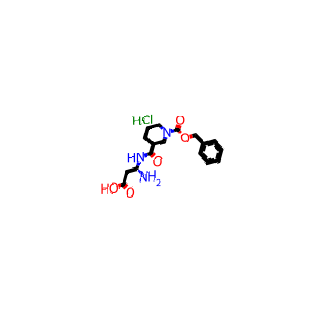 Cl.N[C@H](CC(=O)O)NC(=O)C1CCCN(C(=O)OCc2ccccc2)C1